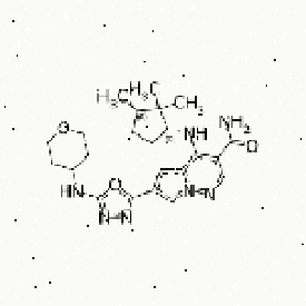 C[C@@H]1CC[C@@H](Nc2c(C(N)=O)cnn3cc(-c4nnc(NC5CCOCC5)o4)cc23)C1(C)C